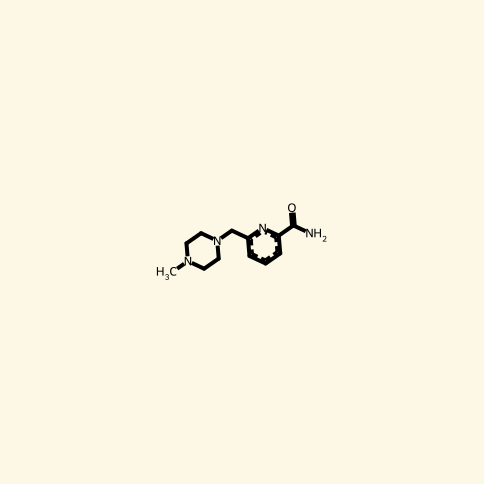 CN1CCN(Cc2cccc(C(N)=O)n2)CC1